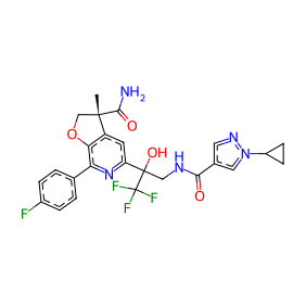 C[C@]1(C(N)=O)COc2c1cc(C(O)(CNC(=O)c1cnn(C3CC3)c1)C(F)(F)F)nc2-c1ccc(F)cc1